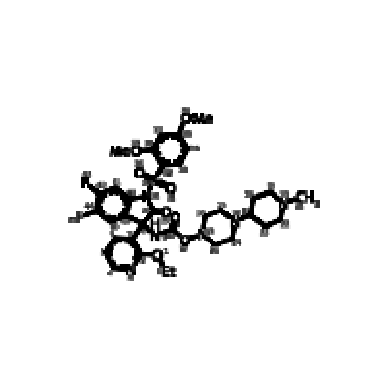 CCOc1ncccc1C1(NC(=O)ON2CCN(C3CCN(C)CC3)CC2)C(=O)N(S(=O)(=O)c2ccc(OC)cc2OC)c2cc(F)c(F)cc21